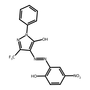 O=[N+]([O-])c1ccc(O)c(/N=N/c2c(C(F)(F)F)nn(-c3ccccc3)c2O)c1